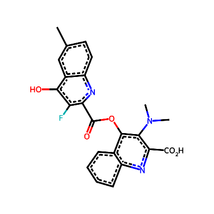 Cc1ccc2nc(C(=O)Oc3c(N(C)C)c(C(=O)O)nc4ccccc34)c(F)c(O)c2c1